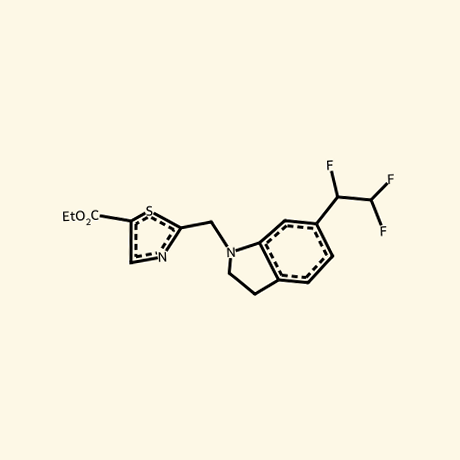 CCOC(=O)c1cnc(CN2CCc3ccc(C(F)C(F)F)cc32)s1